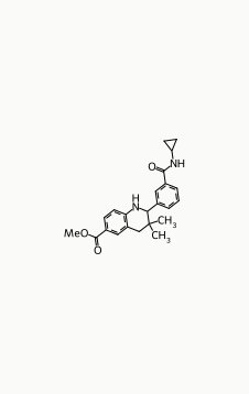 COC(=O)c1ccc2c(c1)CC(C)(C)C(c1cccc(C(=O)NC3CC3)c1)N2